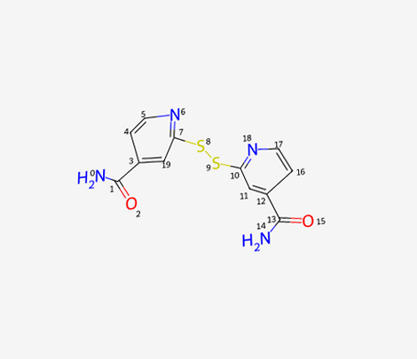 NC(=O)c1ccnc(SSc2cc(C(N)=O)ccn2)c1